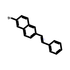 Brc1ccc2cc(/C=C/c3ccccc3)ccc2c1